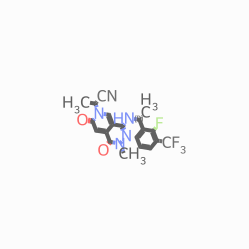 CC(C#N)n1cc2c(N[C@H](C)c3cccc(C(F)(F)F)c3F)nn(C)c(=O)c2cc1=O